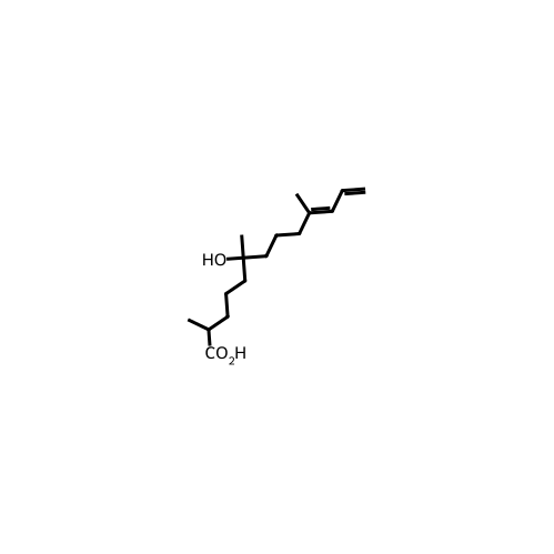 C=C/C=C(\C)CCCC(C)(O)CCCC(C)C(=O)O